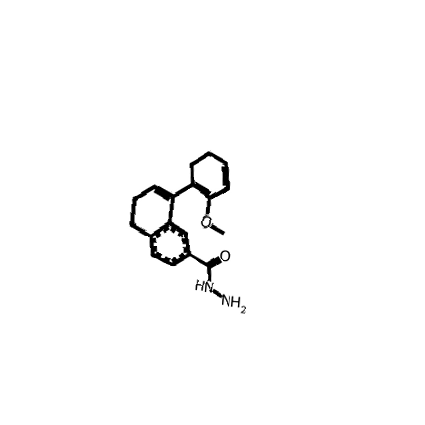 COC1=C(C2=CCCc3ccc(C(=O)NN)cc32)CCC=C1